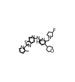 Cc1cccnc1-c1nc2cc(Nc3ccc(C4CCOCC4)c(CN4CC[C@@H](F)C4)n3)ncc2s1